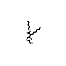 CCCCCC=C(C(=O)OCCCCC)c1csc(N)n1